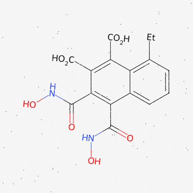 CCc1cccc2c(C(=O)NO)c(C(=O)NO)c(C(=O)O)c(C(=O)O)c12